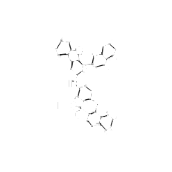 CC1(C)c2cc(Nc3cc(-c4ccc5ccccc5c4)c4oc5ccccc5c4c3)ccc2Cc2c1ccc1ccccc21